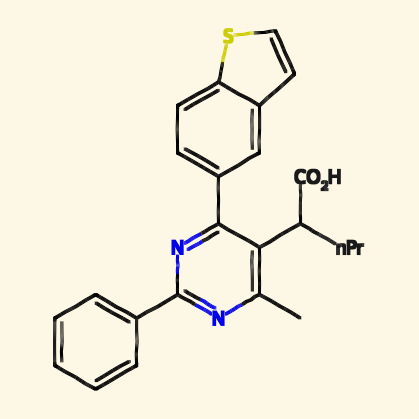 CCCC(C(=O)O)c1c(C)nc(-c2ccccc2)nc1-c1ccc2sccc2c1